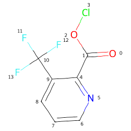 O=C(OCl)c1ncccc1C(F)(F)F